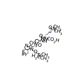 Cc1c(Cn2cccc(NC(=O)[C@H](CC/C=C/C(=O)N(C)C)NC(=O)O)c2=O)n(COCC[Si](C)(C)C)c2c(CC(C)C)c(F)cnc12